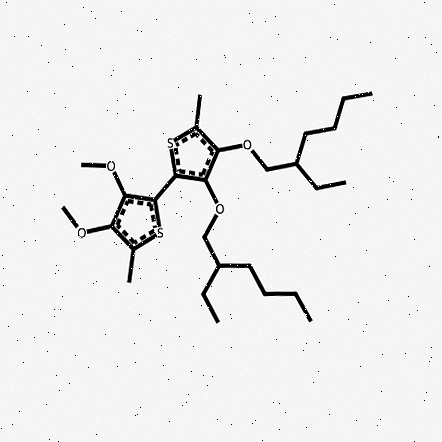 CCCCC(CC)COc1c(C)sc(-c2sc(C)c(OC)c2OC)c1OCC(CC)CCCC